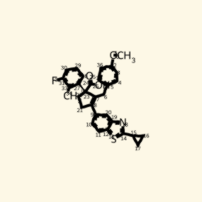 COc1ccc(CC2=C(c3ccc4sc(C5CC5)nc4c3)CC[C@@]2(C(=O)O)c2cccc(F)c2C)cc1